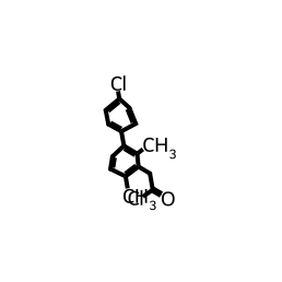 Cc1ccc(-c2ccc(Cl)cc2)c(C)c1CC(=O)Cl